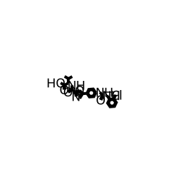 CC(C)C(NC(=O)c1ncc(-c2ccc(NC(=O)Nc3ccccc3Cl)cc2)o1)C(=O)O